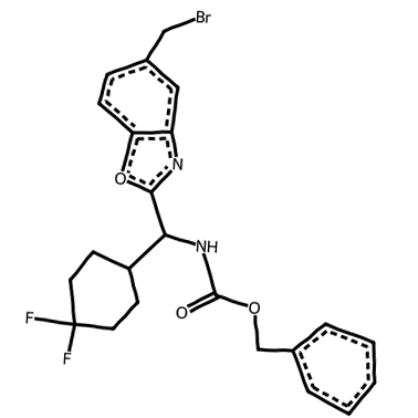 O=C(NC(c1nc2cc(CBr)ccc2o1)C1CCC(F)(F)CC1)OCc1ccccc1